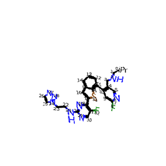 CC(C)CNCc1cnc(F)cc1-c1cccc2cc(-c3nc(NCCn4ccnn4)ncc3F)sc12